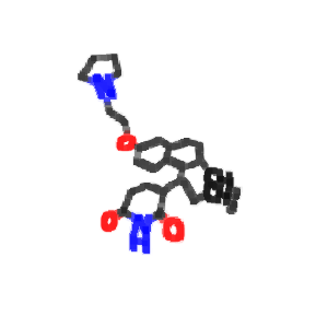 C/C=C(\c1c(C)ccc2cc(OCCN3CCCC3)ccc12)C1CCC(=O)NC1=O